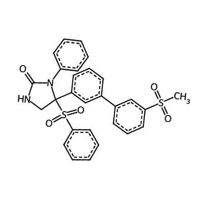 CS(=O)(=O)c1cccc(-c2cccc(C3(S(=O)(=O)c4ccccc4)CNC(=O)N3c3ccccc3)c2)c1